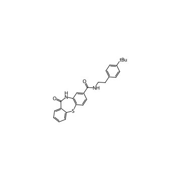 CC(C)(C)c1ccc(CCNC(=O)c2ccc3c(c2)NC(=O)c2ccccc2S3)cc1